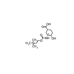 C[Si](C)(C)CCOC(=O)N[C@@H]1CC(C(=O)O)CCC1O